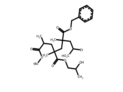 CCC(CC(C)(CC(C)(CC(C)C(=O)OC(C)(C)C)C(=O)OCC(C)O)C(=O)OCc1ccccc1)C(=O)O